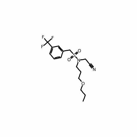 CCCOCCCN(CC#N)S(=O)(=O)Cc1cccc(C(F)(F)F)c1